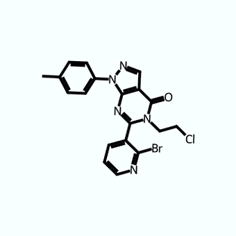 Cc1ccc(-n2ncc3c(=O)n(CCCl)c(-c4cccnc4Br)nc32)cc1